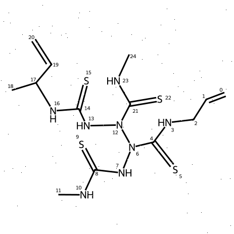 C=CCNC(=S)N(NC(=S)NC)N(NC(=S)NC(C)C=C)C(=S)NC